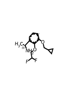 C[C@H](N)c1cc[c]c(OCC2CC2)c1OCC(F)F